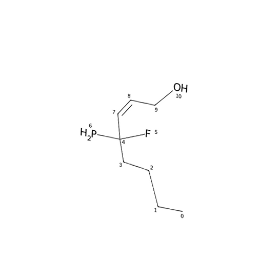 CCCCC(F)(P)/C=C\CO